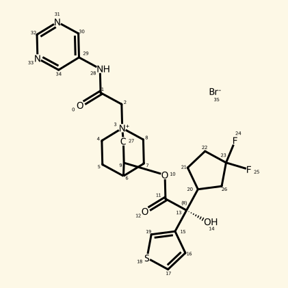 O=C(C[N+]12CCC(CC1)C(OC(=O)[C@](O)(c1ccsc1)C1CCC(F)(F)C1)C2)Nc1cncnc1.[Br-]